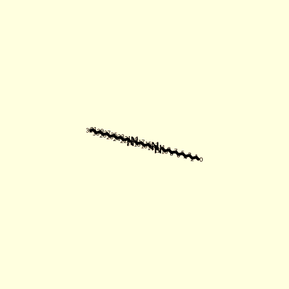 CCCCCCCCCCCC/N=N/CCCCC/N=N/CCCCCCCCCCCC